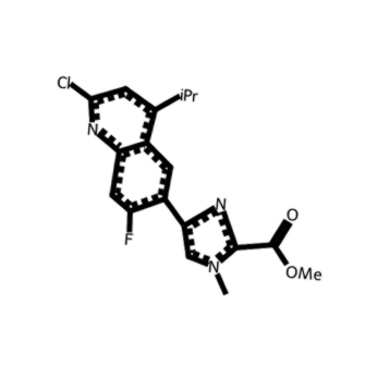 COC(=O)c1nc(-c2cc3c(C(C)C)cc(Cl)nc3cc2F)cn1C